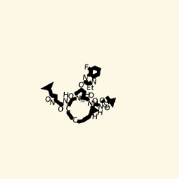 CCc1nc2cccc(F)c2nc1O[C@@H]1C[C@H]2C(=O)N[C@]3(C(=O)NS(=O)(=O)C4(C)CC4)C[C@H]3C=CCCCCC[C@H](NC(=O)c3cc(C4CC4)on3)C(=O)N2C1